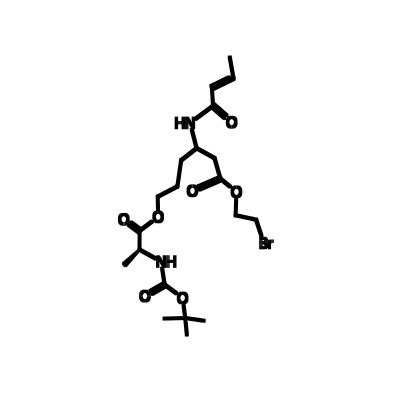 C/C=C/C(=O)NC(CCCOC(=O)[C@H](C)NC(=O)OC(C)(C)C)CC(=O)OCCBr